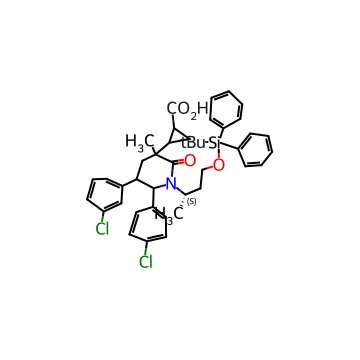 C[C@@H](CCO[Si](c1ccccc1)(c1ccccc1)C(C)(C)C)N1C(=O)C(C)(C2CC2C(=O)O)CC(c2cccc(Cl)c2)C1c1ccc(Cl)cc1